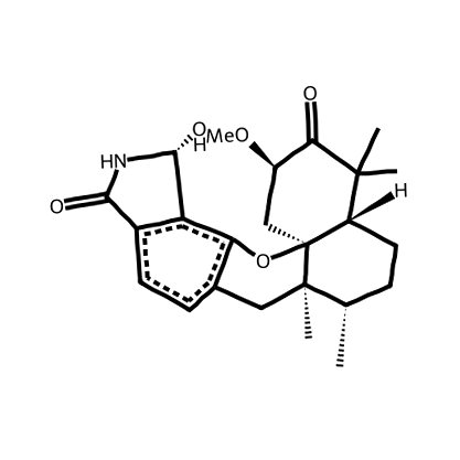 CO[C@@H]1C[C@@]23Oc4c(ccc5c4[C@@H](O)NC5=O)C[C@]2(C)[C@@H](C)CC[C@H]3C(C)(C)C1=O